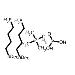 CCCCCCCCCCCCCCP.CCCCCCCCCCCCCCP.C[P+](C)(C)C.[O-]P(O)O